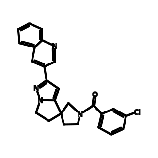 O=C(c1cccc(Cl)c1)N1CCC2(CCn3nc(-c4cnc5ccccc5c4)cc32)C1